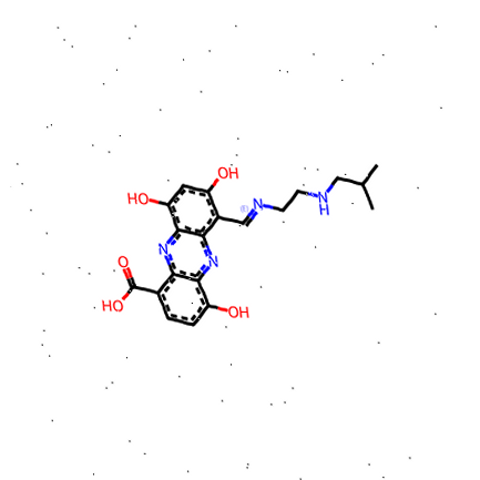 CC(C)CNCC/N=C/c1c(O)cc(O)c2nc3c(C(=O)O)ccc(O)c3nc12